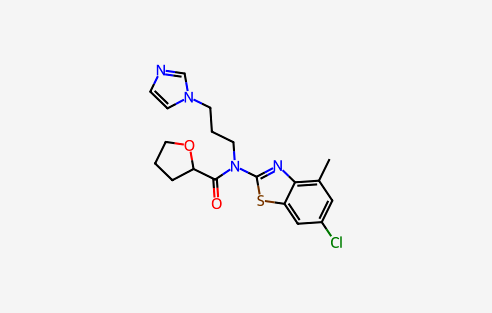 Cc1cc(Cl)cc2sc(N(CCCn3ccnc3)C(=O)C3CCCO3)nc12